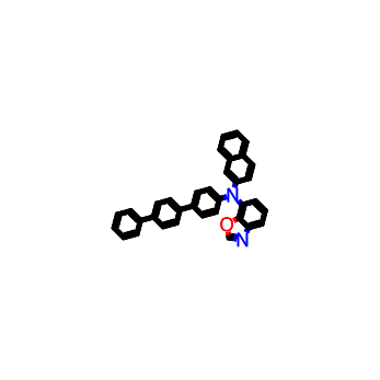 c1ccc(-c2ccc(-c3ccc(N(c4ccc5ccccc5c4)c4cccc5ncoc45)cc3)cc2)cc1